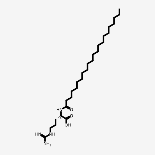 CCCCCCCCCCCCCCCCCCCCCC(=O)N[C@@H](CCCNC(=N)N)C(=O)O